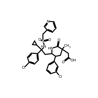 CC1(CC(=O)O)CC(c2cccc(Cl)c2)C(CC(NS(=O)(=O)Cc2cccnc2)(c2ccc(Cl)cc2)C2CC2)NC1=O